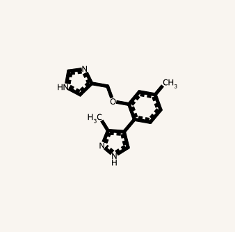 Cc1ccc(-c2c[nH]nc2C)c(OCc2c[nH]cn2)c1